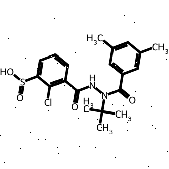 Cc1cc(C)cc(C(=O)N(NC(=O)c2cccc(S(=O)O)c2Cl)C(C)(C)C)c1